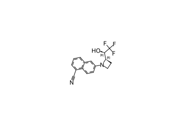 N#Cc1cccc2cc(N3CC[C@@H]3[C@@H](O)C(F)(F)F)ccc12